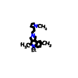 CCN1c2ccc(C)cc2C2CN(CCC3CCCN3C)CC2C1C